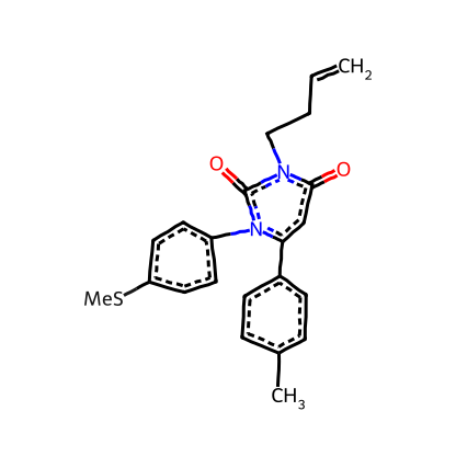 C=CCCn1c(=O)cc(-c2ccc(C)cc2)n(-c2ccc(SC)cc2)c1=O